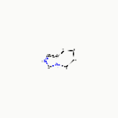 C1=NCN2CCCCC=12